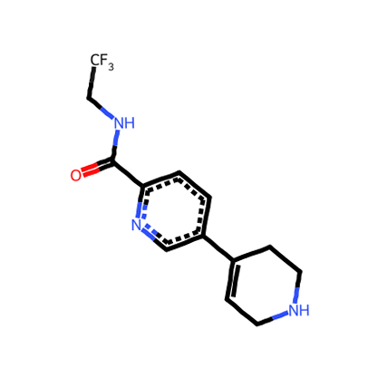 O=C(NCC(F)(F)F)c1ccc(C2=CCNCC2)cn1